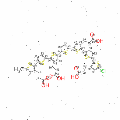 Cc1cc(CCC(=O)O)c(-c2ccc(-c3sc(-c4ccc(-c5cc(CCC(=O)O)c(-c6ccc(-c7sc(Cl)cc7CCC(=O)O)s6)s5)s4)cc3CCC(=O)O)s2)s1